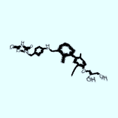 Cc1cc(-c2cccc(CNc3ccc(Cn4oc(=O)[nH]c4=O)cc3)c2C)c(C)cc1OC[C@@H](O)CO